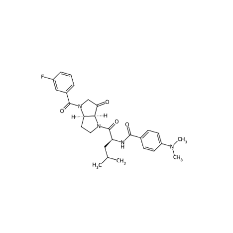 CC(C)C[C@H](NC(=O)c1ccc(N(C)C)cc1)C(=O)N1CC[C@@H]2[C@H]1C(=O)CN2C(=O)c1cccc(F)c1